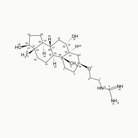 C[C@]12CC[C@H](OCCNC(=N)N)C[C@@H]1[C@@H](O)C[C@@H]1[C@@H]2CC[C@]2(C)[C@@H](O)CC[C@@H]12